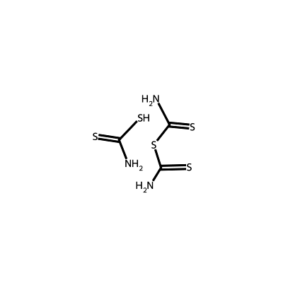 NC(=S)S.NC(=S)SC(N)=S